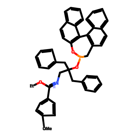 CCO/C(=N\CC(Cc1ccccc1)(Cc1ccccc1)OP1Cc2ccc3ccccc3c2-c2c(ccc3ccccc23)O1)c1ccc(OC)cc1